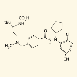 CN(CCC(NC(=O)O)C(C)(C)C)Cc1ccc(C(=O)NN(c2nc(C#N)ncc2Cl)C2CCCC2)cc1